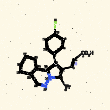 CC(C)c1c(/C=C/C(=O)O)c(-c2ccc(F)cc2)c2c3ccccc3cnn12